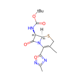 CC1=C(c2nc(C)no2)N2C(=O)[C@@H](NC(=O)OC(C)(C)C)[C@H]2SC1